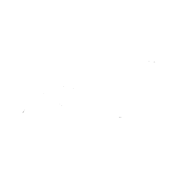 COc1ccc(-c2cc(C(=O)Nc3ccc(N4CCO[C@H](C)C4)nc3)ccc2Cl)cc1